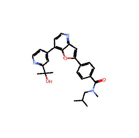 CC(C)CN(C)C(=O)c1ccc(-c2cc3nccc(-c4ccnc(C(C)(C)O)c4)c3o2)cc1